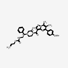 C=CCOC(=O)NC[C@@H](c1ccccc1)N1CCN(C(=O)c2cnn3c(C(F)(F)F)c(C)c(-c4ccc(OC)cc4)nc23)[C@H](C)C1